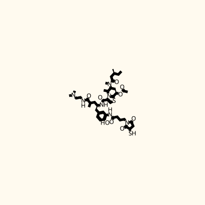 CC[C@H](C)CC(=O)N(C)C(C[C@@H](OC(C)=O)c1nc(C(=O)N[C@@H](Cc2ccc(O)c(NC(=O)CCCN3C(=O)CC(S)C3=O)c2)CC(C)C(=O)NCCN(C)C)cs1)C(C)C